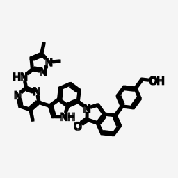 Cc1cnc(Nc2cc(C)n(C)n2)nc1-c1c[nH]c2c(N3Cc4c(cccc4-c4ccc(CO)cc4)C3=O)cccc12